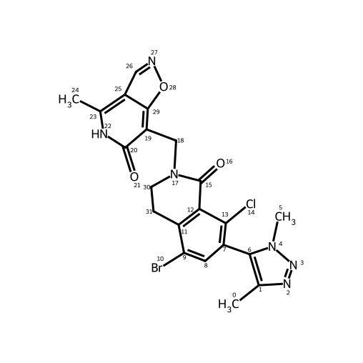 Cc1nnn(C)c1-c1cc(Br)c2c(c1Cl)C(=O)N(Cc1c(=O)[nH]c(C)c3cnoc13)CC2